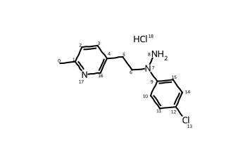 Cc1ccc(CCN(N)c2ccc(Cl)cc2)cn1.Cl